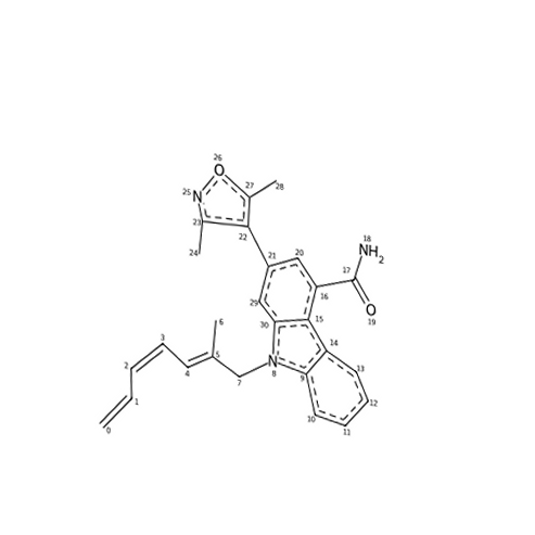 C=C/C=C\C=C(/C)Cn1c2ccccc2c2c(C(N)=O)cc(-c3c(C)noc3C)cc21